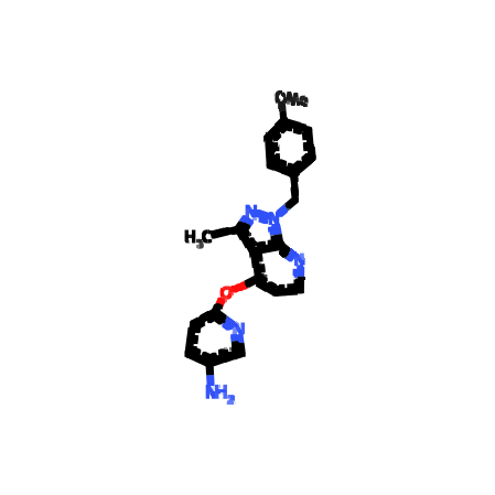 COc1ccc(Cn2nc(C)c3c(Oc4ccc(N)cn4)ccnc32)cc1